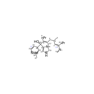 C=N/C(=C/C(C)CC=C(CCC)C(O)(C1=CNCN1C)C(C=CC)/C=C\NC)C(C)C